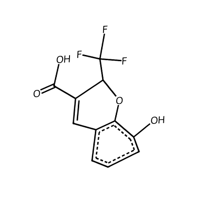 O=C(O)C1=Cc2cccc(O)c2OC1C(F)(F)F